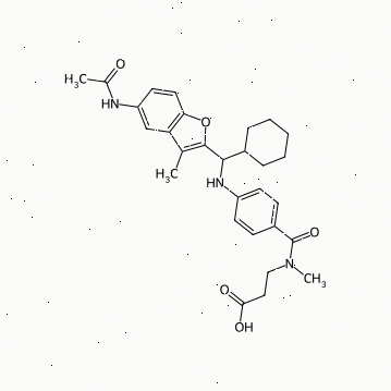 CC(=O)Nc1ccc2oc(C(Nc3ccc(C(=O)N(C)CCC(=O)O)cc3)C3CCCCC3)c(C)c2c1